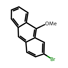 COc1c2ccccc2cc2ccc(Br)cc12